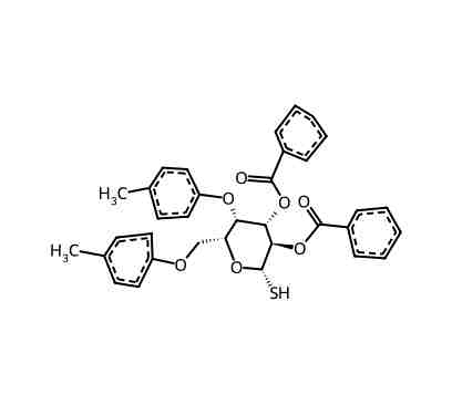 Cc1ccc(OC[C@H]2O[C@@H](S)[C@H](OC(=O)c3ccccc3)[C@@H](OC(=O)c3ccccc3)[C@H]2Oc2ccc(C)cc2)cc1